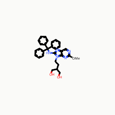 COc1ncc2nc(NC(c3ccccc3)(c3ccccc3)c3ccccc3)n(CCC(CO)CO)c2n1